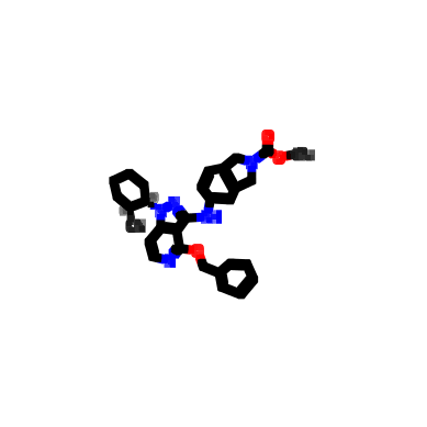 CC(C)(C)OC(=O)N1Cc2ccc(Nc3nn([C@H]4CCCC[C@@H]4C#N)c4ccnc(OCc5ccccc5)c34)cc2C1